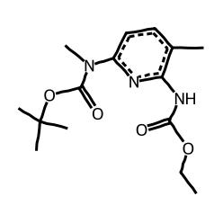 CCOC(=O)Nc1nc(N(C)C(=O)OC(C)(C)C)ccc1C